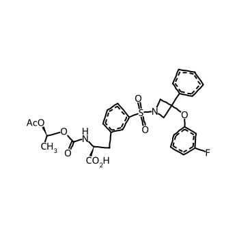 CC(=O)O[C@H](C)OC(=O)N[C@@H](Cc1cccc(S(=O)(=O)N2CC(Oc3cccc(F)c3)(c3ccccc3)C2)c1)C(=O)O